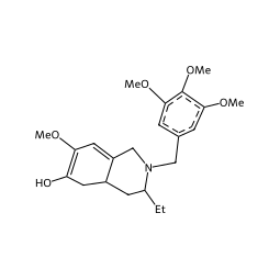 CCC1CC2CC(O)=C(OC)C=C2CN1Cc1cc(OC)c(OC)c(OC)c1